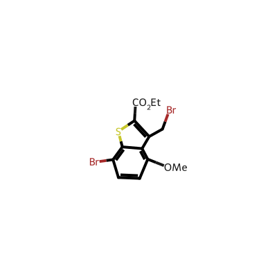 CCOC(=O)c1sc2c(Br)ccc(OC)c2c1CBr